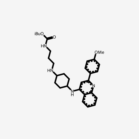 COc1ccc(-c2cc(NC3CCC(NCCCNC(=O)OCC(C)C)CC3)c3ccccc3n2)cc1